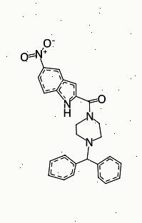 O=C(c1cc2cc([N+](=O)[O-])ccc2[nH]1)N1CCN(C(c2ccccc2)c2ccccc2)CC1